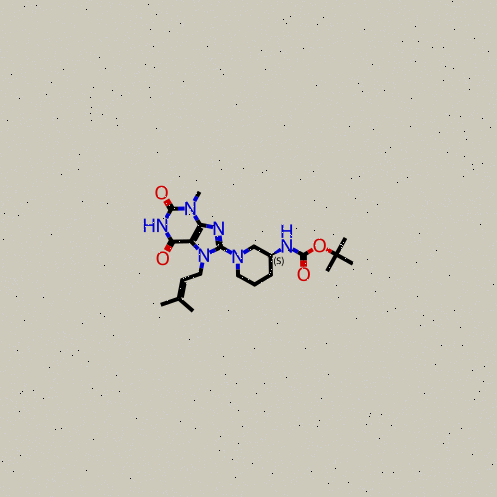 CC(C)=CCn1c(N2CCC[C@H](NC(=O)OC(C)(C)C)C2)nc2c1c(=O)[nH]c(=O)n2C